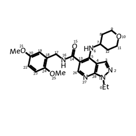 CCn1ncc2c(NC3CCOCC3)c(C(=O)NCc3cc(OC)ccc3OC)cnc21